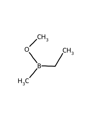 CCB(C)OC